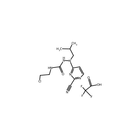 CC(C)CN(NC(=O)NCCCl)c1ccnc(C#N)n1.O=C(O)C(F)(F)F